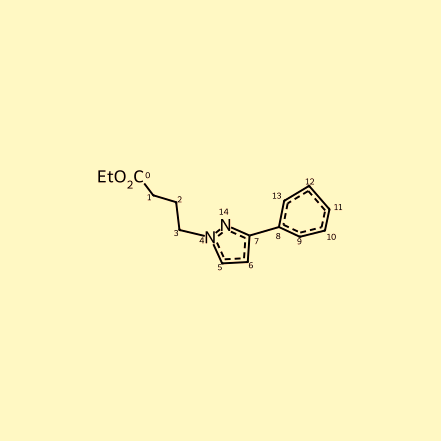 CCOC(=O)CCCn1ccc(-c2ccccc2)n1